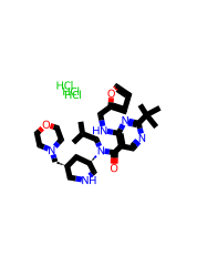 CC(C)CN(C(=O)c1cnc(C(C)(C)C)nc1NCc1ccco1)[C@@H]1CNC[C@H](CN2CCOCC2)C1.Cl.Cl.Cl